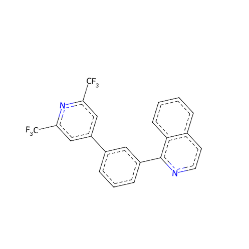 FC(F)(F)c1cc(-c2cccc(-c3nccc4ccccc34)c2)cc(C(F)(F)F)n1